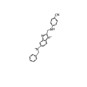 CN(Cc1ccccc1)c1ccc2c(c1)nc(CNc1ccc(C#N)cc1)n2C